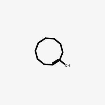 OC1=CCCCCCCCC1